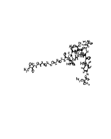 CC(C)C(=O)CCOCCOCCOCCOCCC(=O)CC[C@@H](CS(=O)(=O)O)C(=O)N[C@H](C(=O)N[C@@H](CCCNC(N)=O)C(=O)Nc1ccc(COC(=O)C(C)C)cc1)C(C)C